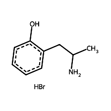 Br.CC(N)Cc1ccccc1O